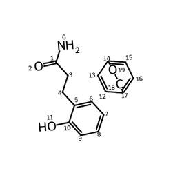 NC(=O)CCc1ccccc1O.c1cc2ccc1CO2